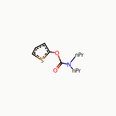 CCCN(CCC)C(=O)Oc1cccs1